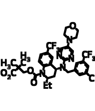 CC[C@@H]1C[C@H](N(Cc2cc(C#N)cc(C(F)(F)F)c2)c2ncc(N3CCOCC3)cn2)c2cc(C(F)(F)F)ccc2N1C(=O)OCC(C)(C)C(=O)O